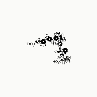 CC1COc2ccccc2N1C(=O)C(Cl)Cl.CCNc1nc(Cl)nc(NC(C)(C)C)n1.CCOC(=O)C(C)OC(=O)c1cc(Oc2ccc(C(F)(F)F)cc2Cl)ccc1[N+](=O)[O-].CCc1cccc(C)c1N(C(=O)CCl)C(C)COC.O=C(O)CNCP(=O)(O)O